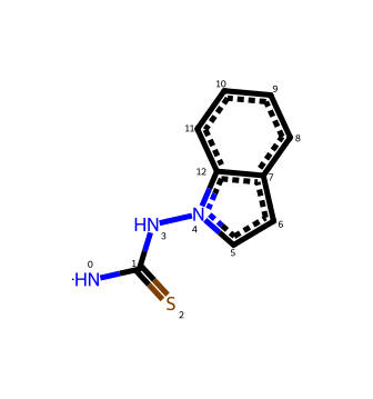 [NH]C(=S)Nn1ccc2ccccc21